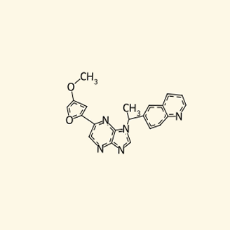 COc1coc(-c2cnc3ncn(C(C)c4ccc5ncccc5c4)c3n2)c1